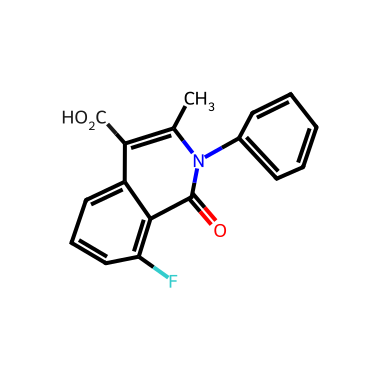 Cc1c(C(=O)O)c2cccc(F)c2c(=O)n1-c1ccccc1